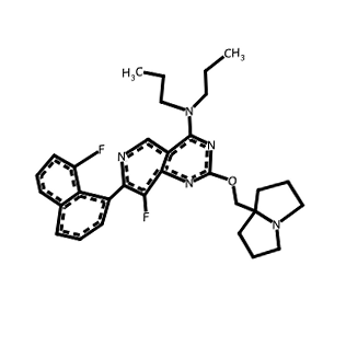 CCCN(CCC)c1nc(OCC23CCCN2CCC3)nc2c(F)c(-c3cccc4cccc(F)c34)ncc12